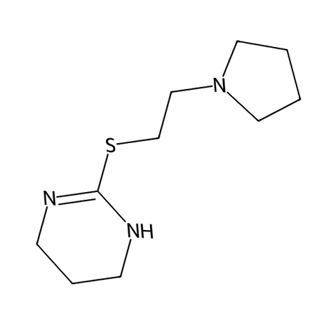 C1CN=C(SCCN2CCCC2)NC1